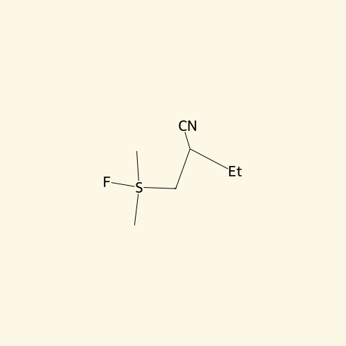 CCC(C#N)CS(C)(C)F